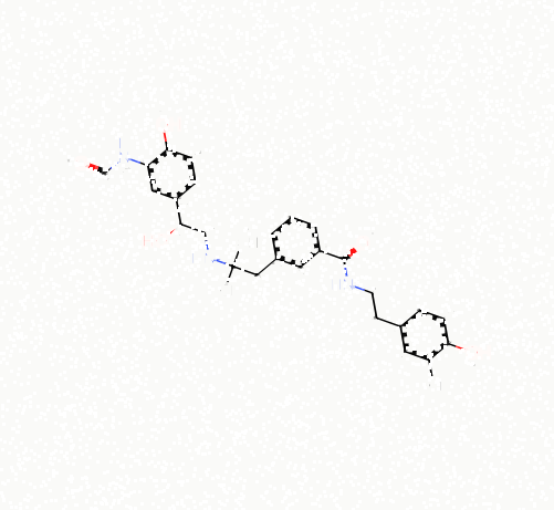 Cc1cc(CCNC(=O)c2cccc(CC(C)(C)NC[C@@H](O)c3ccc(O)c(NC=O)c3)c2)ccc1O